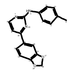 Cc1ccc(Nc2nccc(-c3ccc4c(c3)OCO4)n2)cc1